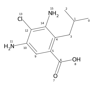 CC(C)Cc1c(C(=O)O)cc(N)c(Cl)c1N